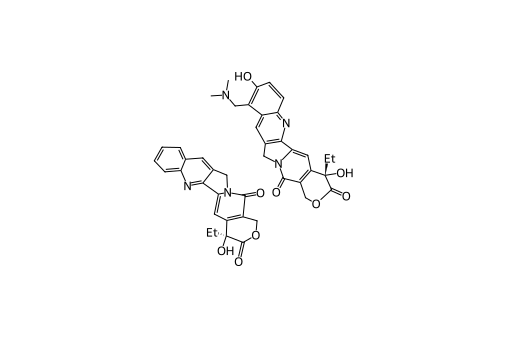 CC[C@@]1(O)C(=O)OCc2c1cc1n(c2=O)Cc2cc3c(CN(C)C)c(O)ccc3nc2-1.CC[C@@]1(O)C(=O)OCc2c1cc1n(c2=O)Cc2cc3ccccc3nc2-1